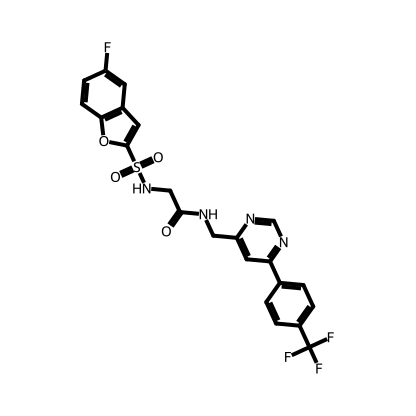 O=C(CNS(=O)(=O)c1cc2cc(F)ccc2o1)NCc1cc(-c2ccc(C(F)(F)F)cc2)ncn1